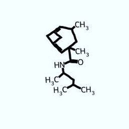 CC(C)CC(C)NC(=O)C1(C)C=C2CC(=CC(C)C1)C2